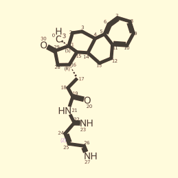 C[C@]12CCC3C4=C=CC=CC=C4CCC3C1[C@H](CCC(=O)NC(=N)/C=C\C=N)CC2=O